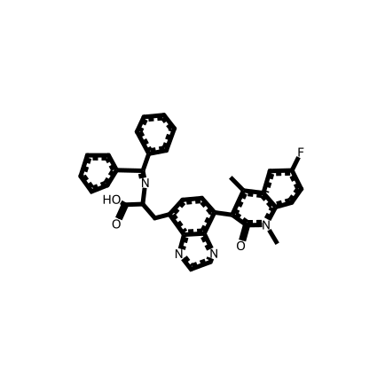 Cc1c(-c2ccc(CC(N=C(c3ccccc3)c3ccccc3)C(=O)O)c3nccnc23)c(=O)n(C)c2ccc(F)cc12